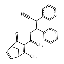 C=C(CC(c1ccccc1)C(C#N)c1ccccc1)C1=C(C)C2C=CC(C2)C1=O